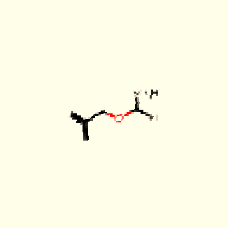 C=C(C)COC(CC)S(=O)(=O)O